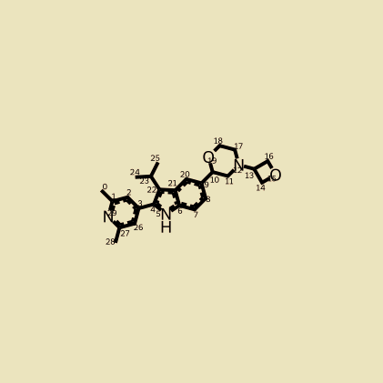 Cc1cc(-c2[nH]c3ccc(C4CN(C5COC5)CCO4)cc3c2C(C)C)cc(C)n1